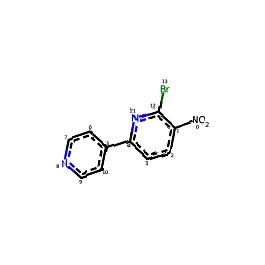 O=[N+]([O-])c1ccc(-c2ccncc2)nc1Br